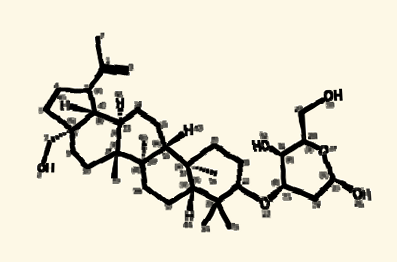 C=C(C)[C@@H]1CC[C@]2(CO)CC[C@]3(C)[C@H](CC[C@@H]4[C@@]5(C)CCC(O[C@@H]6C[C@H](O)O[C@H](CO)[C@@H]6O)C(C)(C)[C@@H]5CC[C@]43C)[C@@H]12